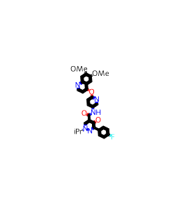 COc1cc2nccc(Oc3ccc(NC(=O)c4cn(C(C)C)nc(-c5ccc(F)cc5)c4=O)cn3)c2cc1OC